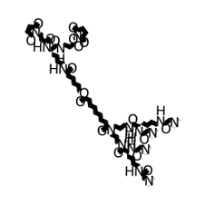 CN(C)CC(=O)NCCCC[C@H](NC(=O)CN(C)C)C(=O)NCCCN(CCCNC(=O)[C@H](CCCCNC(=O)CN(C)C)NC(=O)CN(C)C)C(=O)CCCCCCCC(=O)OCCCCCC(=O)NCCCC[C@H](NC(=O)CCN1C(=O)C=CC1=O)C(=O)NCCC(=O)ON1C(=O)CCC1=O